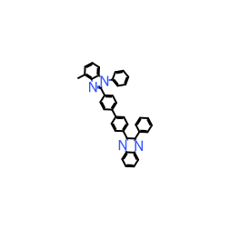 Cc1cccc2c1nc(-c1ccc(-c3ccc(-c4nc5ccccc5nc4-c4ccccc4)cc3)cc1)n2-c1ccccc1